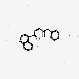 O=C(/C=C\NCc1ccccc1)c1cccc2ccccc12